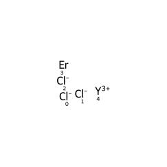 [Cl-].[Cl-].[Cl-].[Er].[Y+3]